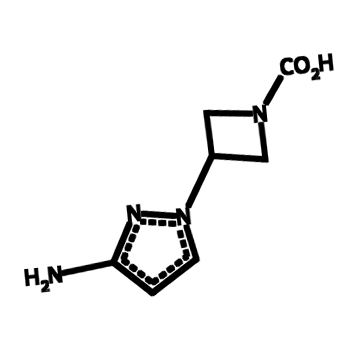 Nc1ccn(C2CN(C(=O)O)C2)n1